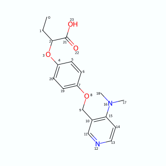 CCC(Oc1ccc(OCc2cnccc2N(C)C)cc1)C(=O)O